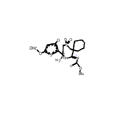 CC(C)(C)OC(=O)/N=C1\N[C@](C)(c2sc(OC=O)cc2Cl)CS(=O)(=O)C12CCCCC2